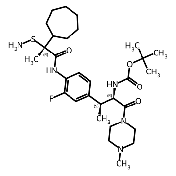 C[C@@H](c1ccc(NC(=O)[C@](C)(SN)C2CCCCCC2)c(F)c1)[C@@H](NC(=O)OC(C)(C)C)C(=O)N1CCN(C)CC1